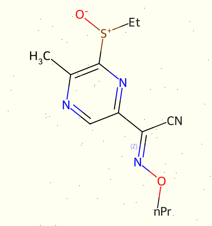 CCCO/N=C(\C#N)c1cnc(C)c([S+]([O-])CC)n1